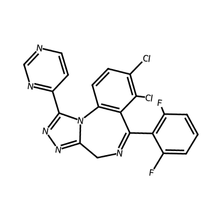 Fc1cccc(F)c1C1=NCc2nnc(-c3ccncn3)n2-c2ccc(Cl)c(Cl)c21